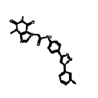 Cc1cccc(-n2cc(-c3ccc(NC(=O)Cn4cnc5c4c(=O)n(C)c(=O)n5C)cc3)nn2)c1